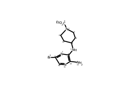 CCOC(=O)N1CCC(Nc2nc(Br)cnc2N)CC1